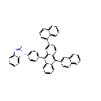 CCc1nc2ccccc2n1-c1ccc(-c2c3ccccc3c(-c3ccc4ccccc4c3)c3ccc(-c4cccc5ccccc45)cc23)cc1